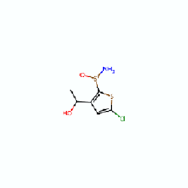 CC(O)c1cc(Cl)sc1[S+](N)[O-]